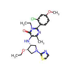 CCO[C@H]1CN(c2nccs2)C[C@H]1Nc1c(C)nc(-c2ccc(OC)cc2Cl)n(CC)c1=O